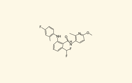 COc1ccc(NC(=O)c2c(Nc3ccc(F)cc3C)cccc2C(F)F)c(C)n1